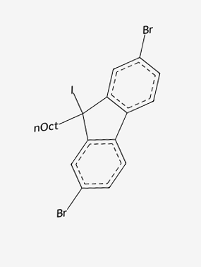 CCCCCCCCC1(I)c2cc(Br)ccc2-c2ccc(Br)cc21